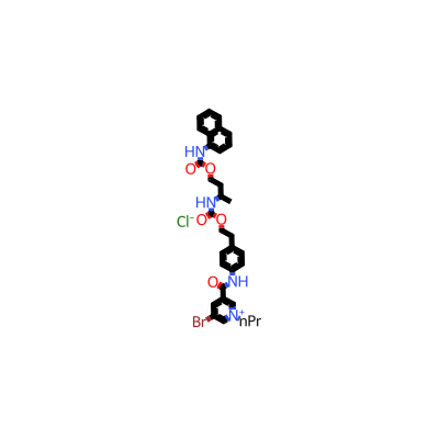 CCC[n+]1cc(Br)cc(C(=O)Nc2ccc(CCOC(=O)NC(C)CCOC(=O)Nc3cccc4ccccc34)cc2)c1.[Cl-]